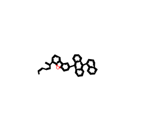 C=C(/C=C\C=C/C)c1cccc2c1oc1ccc(-c3c4ccccc4c(-c4cccc5ccccc45)c4ccccc34)cc12